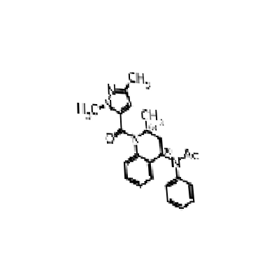 CC(=O)N(c1ccccc1)[C@@H]1C[C@H](C)N(C(=O)c2cc(C)nn2C)c2ccccc21